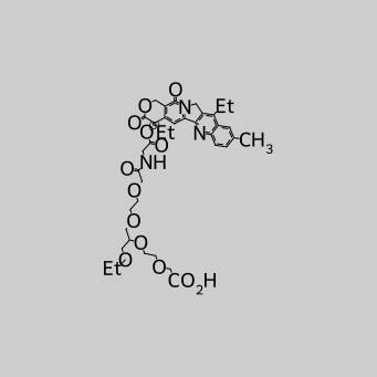 CCOCC(COCCOCC(=O)NCC(=O)O[C@]1(CC)C(=O)OCc2c1cc1n(c2=O)Cc2c-1nc1ccc(C)cc1c2CC)OCCOCC(=O)O